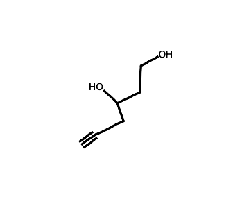 C#CCC(O)CCO